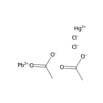 CC(=O)[O-].CC(=O)[O-].[Cl-].[Cl-].[Hg+2].[Pb+2]